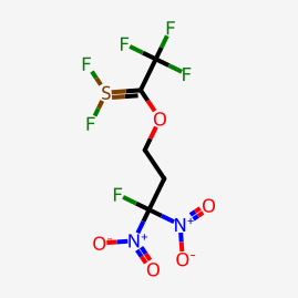 O=[N+]([O-])C(F)(CCOC(=S(F)F)C(F)(F)F)[N+](=O)[O-]